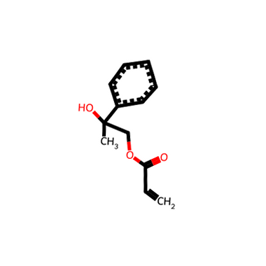 C=CC(=O)OCC(C)(O)c1ccccc1